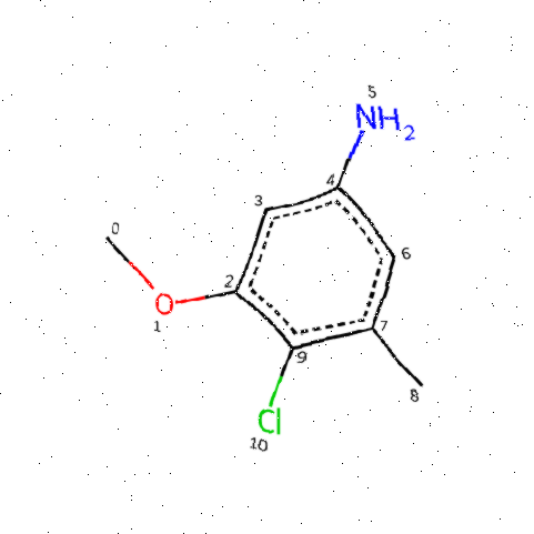 COc1cc(N)cc(C)c1Cl